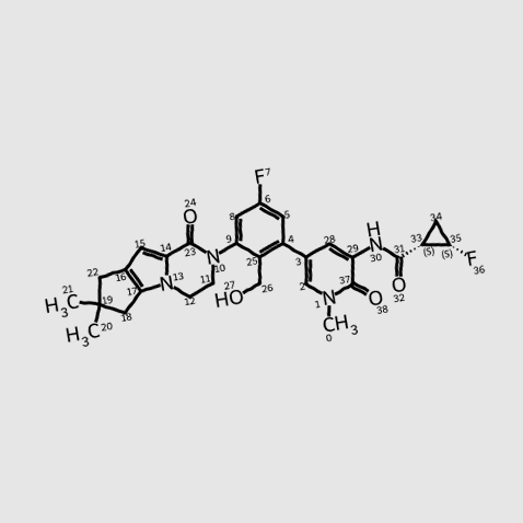 Cn1cc(-c2cc(F)cc(N3CCn4c(cc5c4CC(C)(C)C5)C3=O)c2CO)cc(NC(=O)[C@@H]2C[C@@H]2F)c1=O